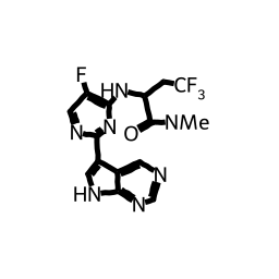 CNC(=O)C(CC(F)(F)F)Nc1nc(-c2c[nH]c3ncncc23)ncc1F